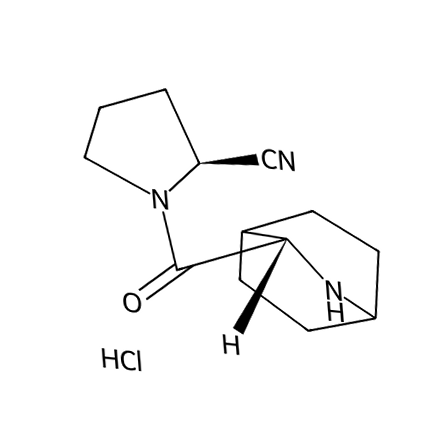 Cl.N#C[C@@H]1CCCN1C(=O)[C@H]1NC2CCC1CC2